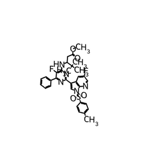 COC(=O)CC(Nc1nc(-c2cn(S(=O)(=O)c3ccc(C)cc3)c3ncc(F)cc23)nc(-c2ccccc2)c1F)C(C)(C)C